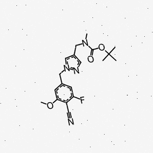 COc1cc(Cn2cc(CN(C)C(=O)OC(C)(C)C)cn2)cc(F)c1C#N